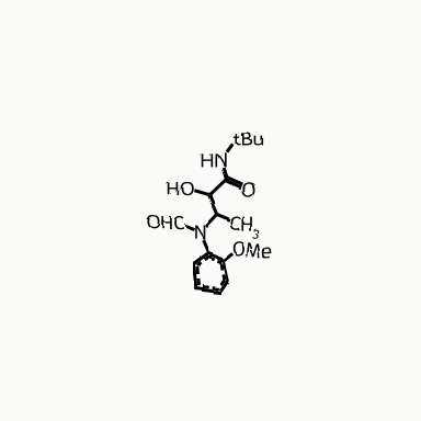 COc1ccccc1N(C=O)C(C)C(O)C(=O)NC(C)(C)C